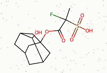 CC(F)(C(=O)OC12CC3CC(C1)C(O)C(C3)C2)S(=O)(=O)O